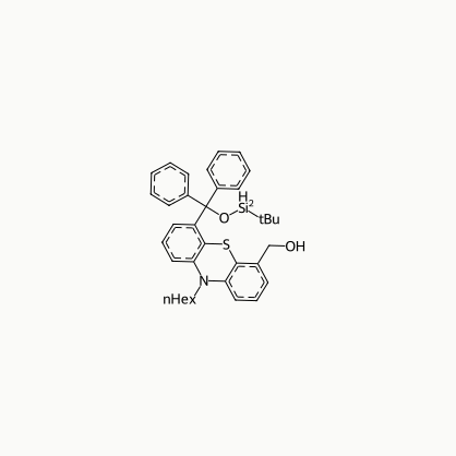 CCCCCCN1c2cccc(CO)c2Sc2c1cccc2C(O[SiH2]C(C)(C)C)(c1ccccc1)c1ccccc1